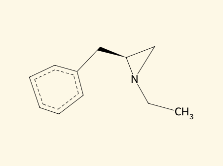 CCN1C[C@@H]1Cc1ccccc1